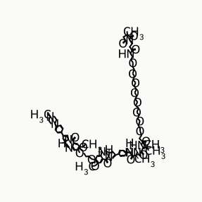 COc1cc2c(cc1OCCCOc1cc3c(cc1OC)C(=O)N1C=C(c4ccc(N5CCN(C)CC5)cc4)C[C@H]1C=N3)N=C[C@@H]1CC(c3ccc(NC(=O)[C@H](C)NC(=O)[C@@H](NC(=O)CCOCCOCCOCCOCCOCCOCCOCCOCCNC(=O)CCN4C(=O)CC(C)C4=O)C(C)C)cc3)=CN1C2=O